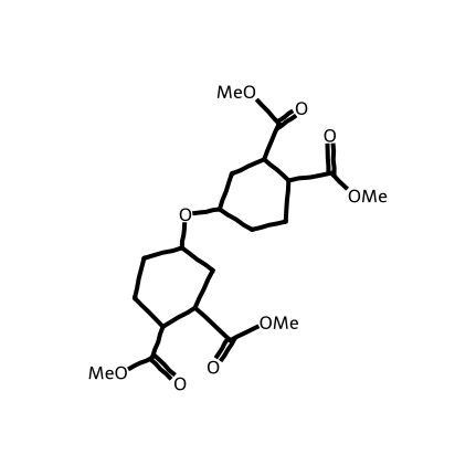 COC(=O)C1CCC(OC2CCC(C(=O)OC)C(C(=O)OC)C2)CC1C(=O)OC